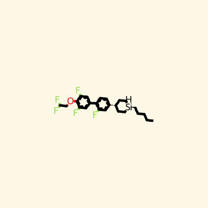 CCCCC[Si@H]1CC[C@H](c2ccc(-c3cc(F)c(OCC(F)F)c(F)c3)c(F)c2)CC1